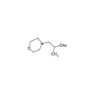 CC(=O)OC(C)CN1CCOCC1